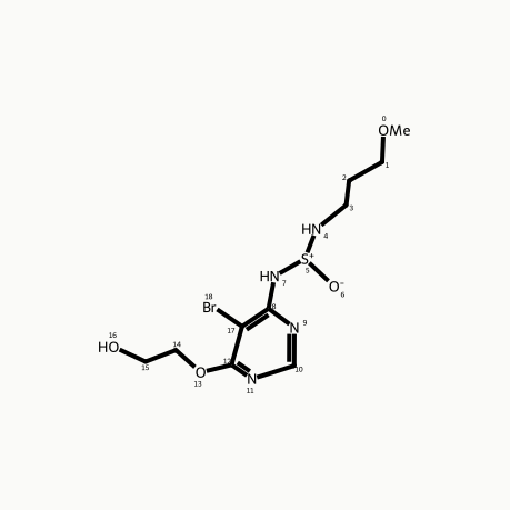 COCCCN[S+]([O-])Nc1ncnc(OCCO)c1Br